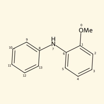 COc1ccccc1Nc1c[c]ccc1